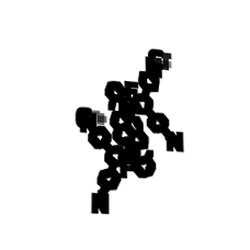 [C-]#[N+]c1ccc(-c2cc(-c3ccc(C#N)cc3)cc(N(c3c(C)cccc3F)c3ccc4ccc5c(N(c6cc(-c7ccc(C#N)cc7)cc(-c7ccc([N+]#[C-])cc7)c6)c6c(C)cccc6F)ccc6ccc3c4c65)c2)cc1